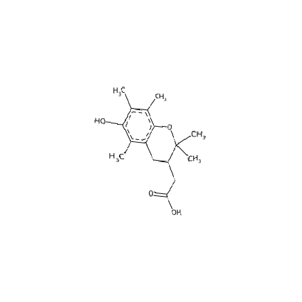 Cc1c(C)c2c(c(C)c1O)CC(CC(=O)O)C(C)(C)O2